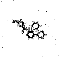 O=C(Nc1cccc(C2COCCN2)c1N1CCCCC1)c1csc(Br)n1